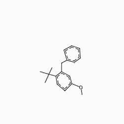 COc1ccc(C(C)(C)C)c(Cc2[c]cccc2)c1